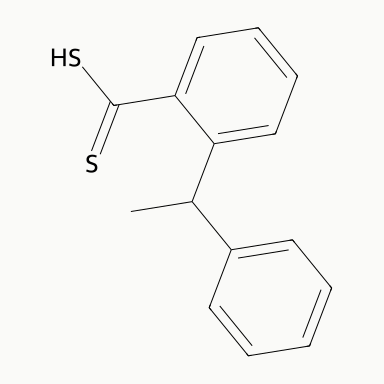 CC(c1ccccc1)c1ccccc1C(=S)S